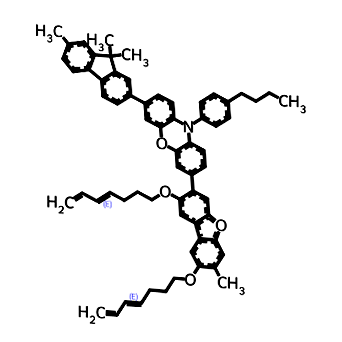 C=C/C=C/CCCOc1cc2c(cc1C)oc1cc(-c3ccc4c(c3)Oc3cc(-c5ccc6c(c5)C(C)(C)c5cc(C)ccc5-6)ccc3N4c3ccc(CCCC)cc3)c(OCCC/C=C/C=C)cc12